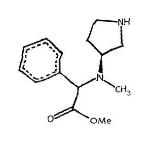 COC(=O)C(c1ccccc1)N(C)[C@H]1CCNC1